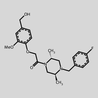 COc1cc(CO)ccc1OCC(=O)N1C[C@H](C)N(Cc2ccc(F)cc2)C[C@H]1C